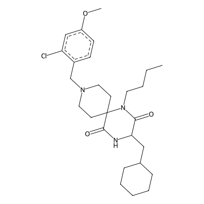 CCCCN1C(=O)C(CC2CCCCC2)NC(=O)C12CCN(Cc1ccc(OC)cc1Cl)CC2